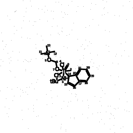 [CH2]=[Ti]([CH3])([Cl])([Cl])([NH]C(C)(C)C)([O]CO[Si](C)(C)C)[CH]1C=Cc2ccccc21